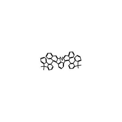 CC1(C)c2ccccc2-c2c(-c3c4ccccc4cc4c3c3cccc5c6c(-c7cccc8c7-c7ccccc7C8(C)C)c7ccccc7cc6n4c35)cccc21